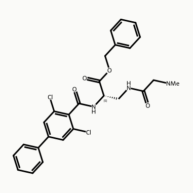 CNCC(=O)NC[C@H](NC(=O)c1c(Cl)cc(-c2ccccc2)cc1Cl)C(=O)OCc1ccccc1